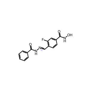 O=C(NO)c1ccc(/C=N/NC(=O)c2ccccc2)c(F)c1